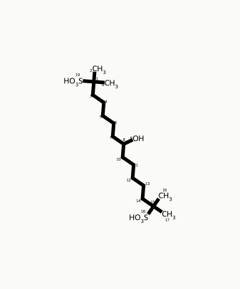 CC(C)(CCCCCC(O)CCCCCC(C)(C)S(=O)(=O)O)S(=O)(=O)O